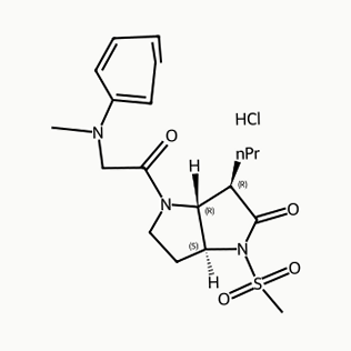 CCC[C@H]1C(=O)N(S(C)(=O)=O)[C@H]2CCN(C(=O)CN(C)c3ccccc3)[C@H]12.Cl